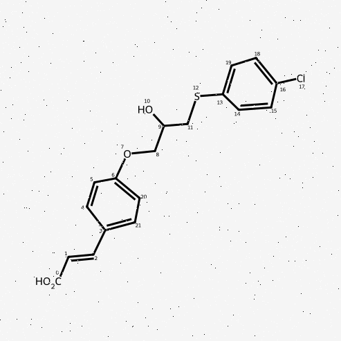 O=C(O)C=Cc1ccc(OCC(O)CSc2ccc(Cl)cc2)cc1